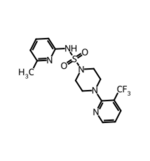 Cc1cccc(NS(=O)(=O)N2CCN(c3ncccc3C(F)(F)F)CC2)n1